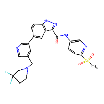 CS(=O)(=O)c1ccc(NC(=O)c2n[nH]c3ccc(-c4cncc(CN5CCC(F)(F)C5)c4)cc23)cn1